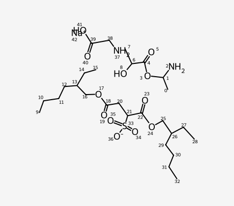 CC(N)OC(=O)C(C)O.CCCCC(CC)COC(=O)CC(C(=O)OCC(CC)CCCC)S(=O)(=O)[O-].NCC(=O)O.[Na+]